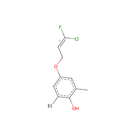 CCc1cc(OC/C=C(/F)Cl)cc(C)c1O